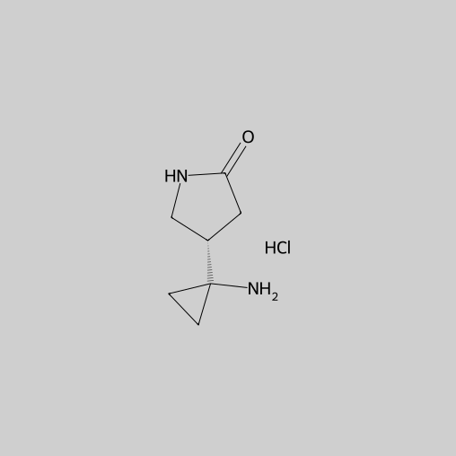 Cl.NC1([C@@H]2CNC(=O)C2)CC1